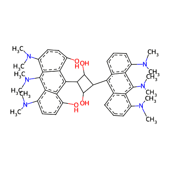 CN(C)c1cccc2c(C3C(O)C(c4c5c(O)ccc(N(C)C)c5c(N(C)C)c5c(N(C)C)ccc(O)c45)C3O)c3cccc(N(C)C)c3c(N(C)C)c12